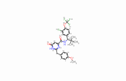 COc1ccc(Cc2nc(C(=O)N[C@@H](c3ccc(OC(F)(F)F)c(F)c3)C(C)(C)C)cc(=O)[nH]2)cc1